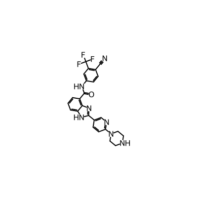 N#Cc1ccc(NC(=O)c2cccc3[nH]c(-c4ccc(N5CCNCC5)nc4)nc23)cc1C(F)(F)F